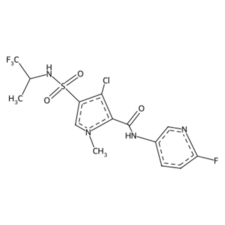 CC(NS(=O)(=O)c1cn(C)c(C(=O)Nc2ccc(F)nc2)c1Cl)C(F)(F)F